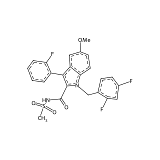 COc1ccc2c(c1)c(-c1ccccc1F)c(C(=O)NS(C)(=O)=O)n2Cc1ccc(F)cc1F